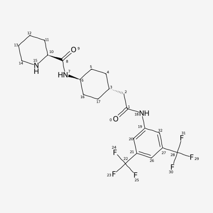 O=C(C[C@H]1CC[C@H](NC(=O)[C@@H]2CCCCN2)CC1)Nc1cc(C(F)(F)F)cc(C(F)(F)F)c1